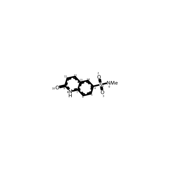 CNS(=O)(=O)c1ccc2[nH]c(=O)ccc2c1